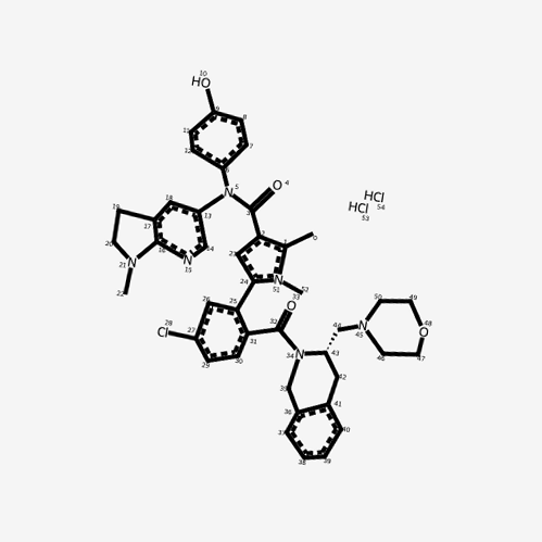 Cc1c(C(=O)N(c2ccc(O)cc2)c2cnc3c(c2)CCN3C)cc(-c2cc(Cl)ccc2C(=O)N2Cc3ccccc3C[C@H]2CN2CCOCC2)n1C.Cl.Cl